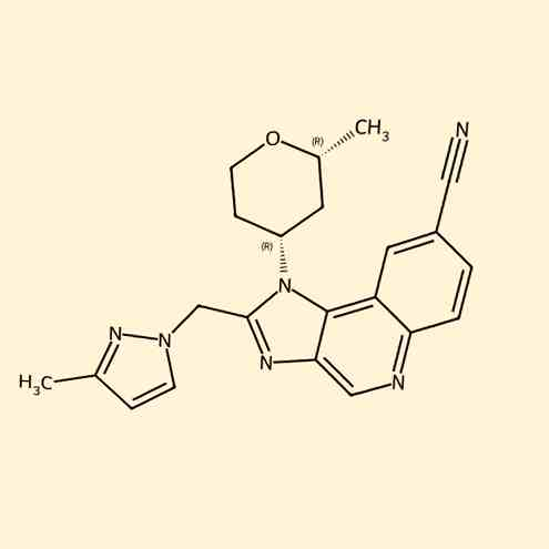 Cc1ccn(Cc2nc3cnc4ccc(C#N)cc4c3n2[C@@H]2CCO[C@H](C)C2)n1